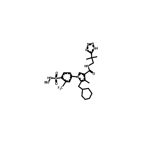 Cc1c(C(=O)NCC(C)(C)c2nnn[nH]2)cn(-c2ccc(S(=O)(=O)NC(C)(C)C)c(C(F)(F)F)c2)c1CC1CCCCC1